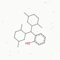 CC1CCC(C)C(C(c2ccccc2O)C2CC(C)CCC2C)C1